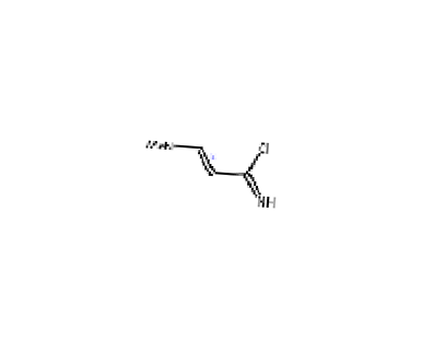 CN/C=C/C(=N)Cl